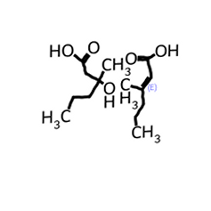 CCC/C(C)=C/C(=O)O.CCCC(C)(O)CC(=O)O